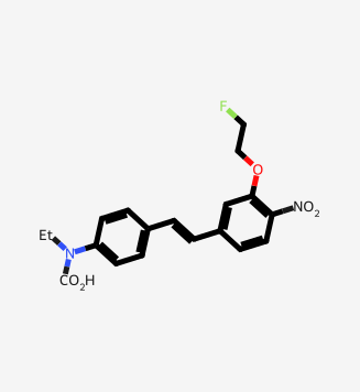 CCN(C(=O)O)c1ccc(C=Cc2ccc([N+](=O)[O-])c(OCCF)c2)cc1